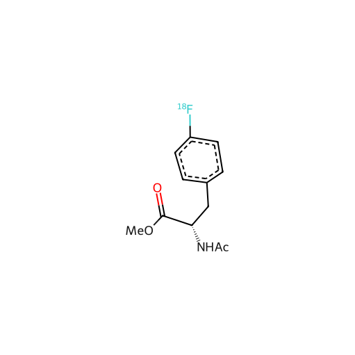 COC(=O)[C@H](Cc1ccc([18F])cc1)NC(C)=O